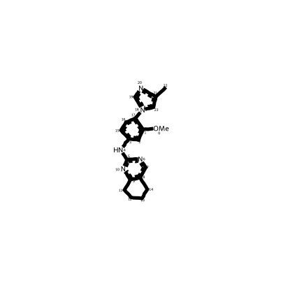 COc1cc(Nc2ncc3c(n2)[CH]CCC3)ccc1-n1cnc(C)c1